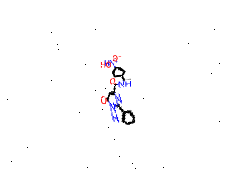 C[C@H](NC(=O)c1cc(=O)[nH]c(-c2ccccc2)n1)c1ccc([N@@H+]([O-])O)cc1